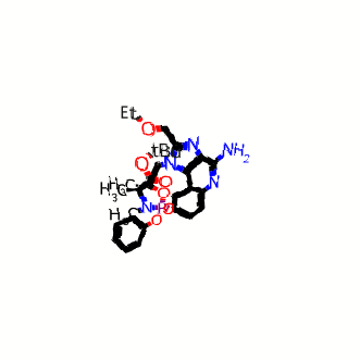 CCOCc1nc2c(N)nc3ccccc3c2n1C[C@@H](C)OP(=O)(Oc1ccccc1)N(C)[C@@H](C)C(=O)OC(C)(C)C